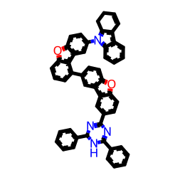 C1=Cc2c(n(-c3ccc4oc5cccc(-c6ccc7oc8ccc(C9=NC(c%10ccccc%10)NC(c%10ccccc%10)=N9)cc8c7c6)c5c4c3)c3ccccc23)CC1